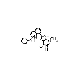 C[C@@H]1CNC(=O)c2cc(-c3cccc4ccc(Nc5ccccc5)nc34)[nH]c21